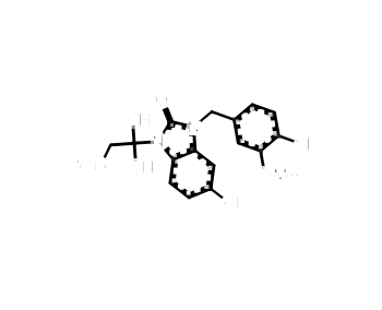 COc1cc(Cn2c(=O)n(C(C)(C)COC(C)=O)c3ccc(C(F)(F)F)cc32)ccc1Cl